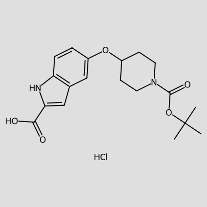 CC(C)(C)OC(=O)N1CCC(Oc2ccc3[nH]c(C(=O)O)cc3c2)CC1.Cl